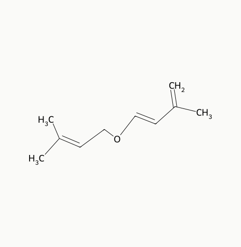 C=C(C)/C=C/OCC=C(C)C